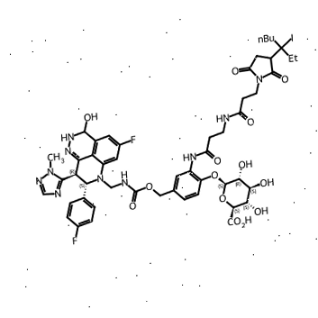 CCCCC(I)(CC)C1CC(=O)N(CCC(=O)NCCC(=O)Nc2cc(COC(=O)NCN3c4cc(F)cc5c4C(=NNC5O)[C@H](c4ncnn4C)[C@H]3c3ccc(F)cc3)ccc2O[C@@H]2O[C@H](C(=O)O)[C@@H](O)[C@H](O)[C@H]2O)C1=O